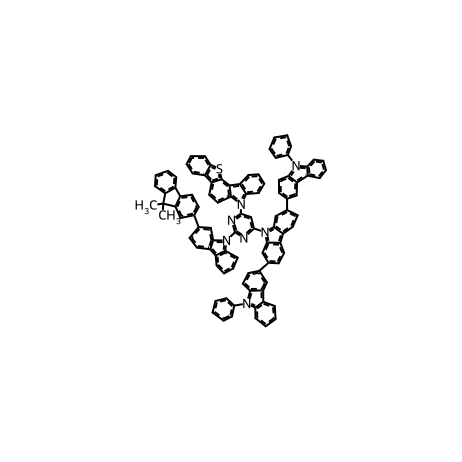 CC1(C)c2ccccc2-c2ccc(-c3ccc4c5ccccc5n(-c5nc(-n6c7cc(-c8ccc9c(c8)c8ccccc8n9-c8ccccc8)ccc7c7ccc(-c8ccc9c(c8)c8ccccc8n9-c8ccccc8)cc76)cc(-n6c7ccccc7c7c8sc9ccccc9c8ccc76)n5)c4c3)cc21